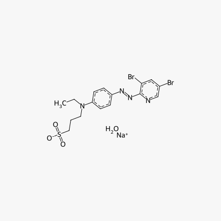 CCN(CCCS(=O)(=O)[O-])c1ccc(N=Nc2ncc(Br)cc2Br)cc1.O.[Na+]